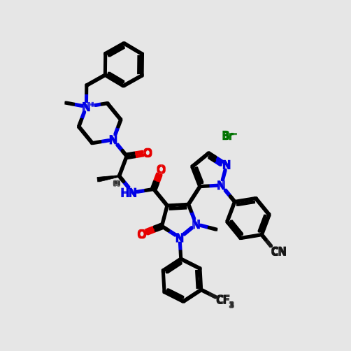 C[C@H](NC(=O)c1c(-c2ccnn2-c2ccc(C#N)cc2)n(C)n(-c2cccc(C(F)(F)F)c2)c1=O)C(=O)N1CC[N+](C)(Cc2ccccc2)CC1.[Br-]